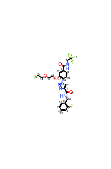 O=C(NCC(F)(F)F)c1ccc(-n2cc(C(=O)NCc3ccc(F)cc3F)nn2)c(OCCOCCF)c1